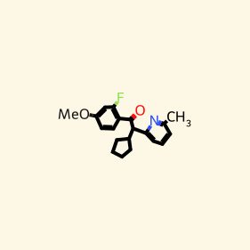 COc1ccc(C(=O)C(c2cccc(C)n2)C2CCCC2)c(F)c1